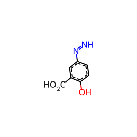 N=Nc1ccc(O)c(C(=O)O)c1